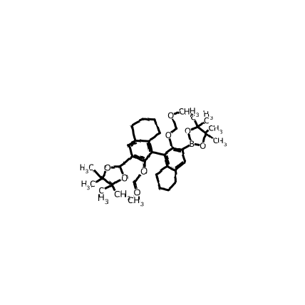 COCOc1c(B2OC(C)(C)C(C)(C)O2)cc2c(c1-c1c3c(cc(C4OC(C)(C)C(C)(C)O4)c1OCOC)CCCC3)CCCC2